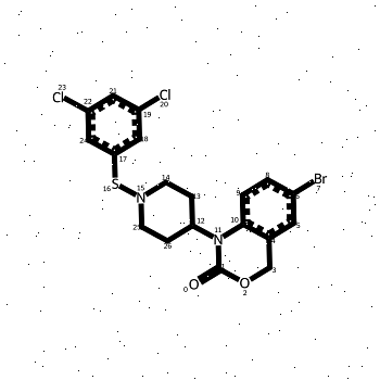 O=C1OCc2cc(Br)ccc2N1C1CCN(Sc2cc(Cl)cc(Cl)c2)CC1